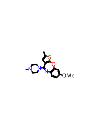 COc1ccc2c(c1)Oc1sc(C)cc1C(N1CCN(C)CC1)=N2